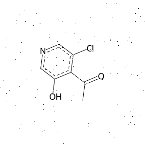 CC(=O)c1c(O)cncc1Cl